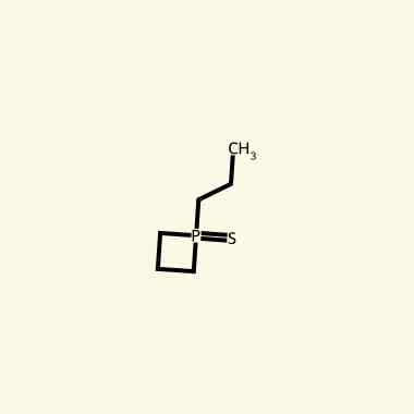 CCCP1(=S)CCC1